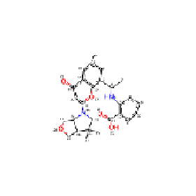 Cc1cc(C(C)Nc2ccccc2C(=O)O)c2oc(N3CC(C)(C)C4COCC43)cc(=O)c2c1